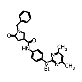 CCN(c1ccc(NC(=O)C2CC(=O)N(Cc3ccccc3)C2)cc1)c1nc(C)cc(C)n1